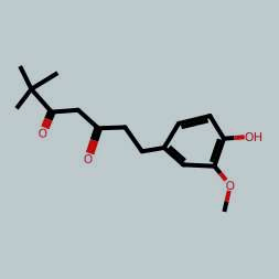 COc1cc(CCC(=O)CC(=O)C(C)(C)C)ccc1O